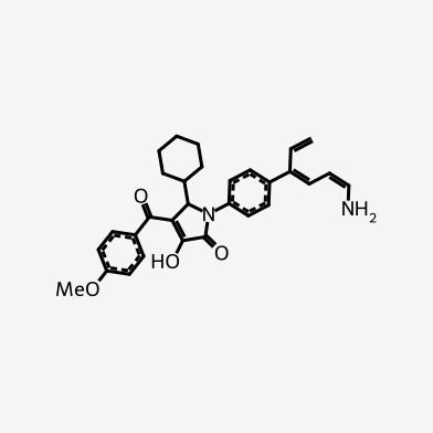 C=C/C(=C\C=C/N)c1ccc(N2C(=O)C(O)=C(C(=O)c3ccc(OC)cc3)C2C2CCCCC2)cc1